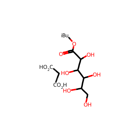 CCC(C)OC(=O)C(O)C(O)C(O)C(O)CO.O=C(O)CC(=O)O